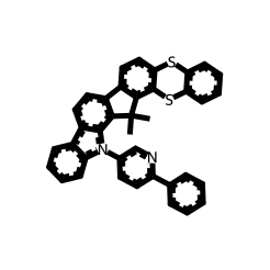 CC1(C)c2c(ccc3c2Sc2ccccc2S3)-c2ccc3c4ccccc4n(-c4ccc(-c5ccccc5)nc4)c3c21